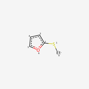 C[CH]Sc1ccco1